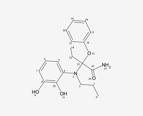 CCCN(c1cccc(O)c1O)C(CC)(Oc1ccccc1)C(N)=O